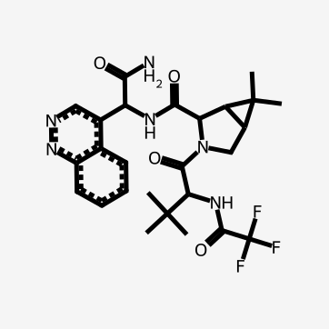 CC(C)(C)C(NC(=O)C(F)(F)F)C(=O)N1CC2C(C1C(=O)NC(C(N)=O)c1cnnc3ccccc13)C2(C)C